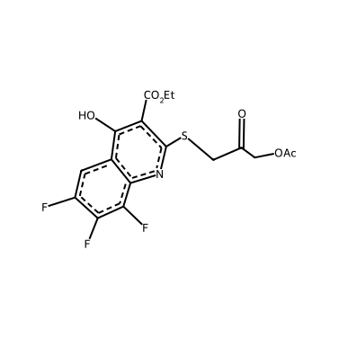 CCOC(=O)c1c(SCC(=O)COC(C)=O)nc2c(F)c(F)c(F)cc2c1O